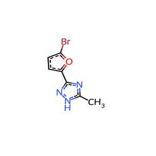 Cc1nc(-c2ccc(Br)o2)n[nH]1